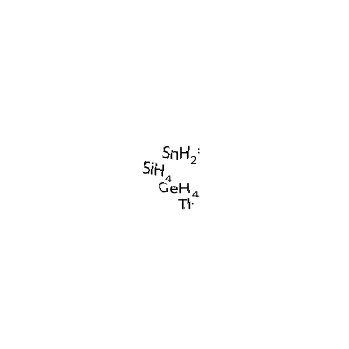 [GeH4].[SiH4].[SnH2].[Tl]